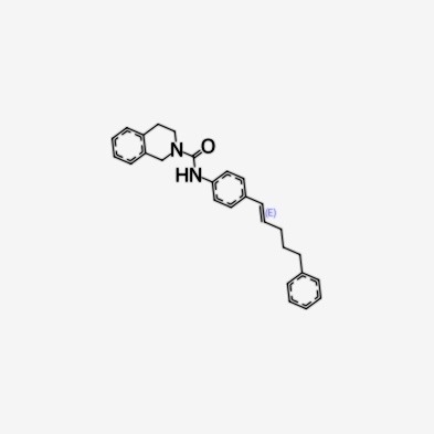 O=C(Nc1ccc(/C=C/CCCc2ccccc2)cc1)N1CCc2ccccc2C1